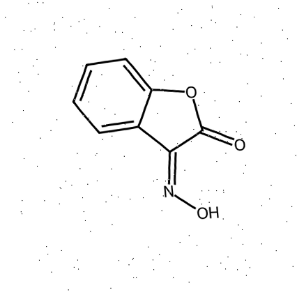 O=C1Oc2ccccc2C1=NO